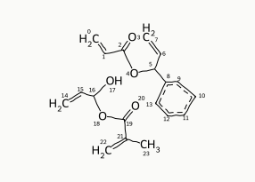 C=CC(=O)OC(C=C)c1ccccc1.C=CC(O)OC(=O)C(=C)C